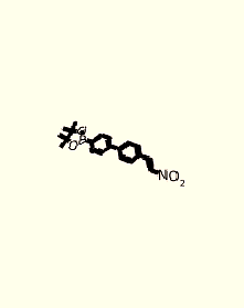 CC1(C)OB(c2ccc(-c3ccc(C=C[N+](=O)[O-])cc3)cc2)OC1(C)C